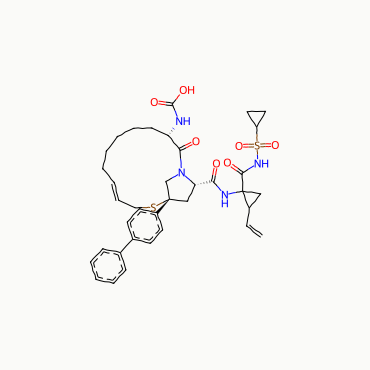 C=CC1CC1(NC(=O)[C@@H]1C[C@@]2(c3ccc(-c4ccccc4)cc3)CN1C(=O)[C@@H](NC(=O)O)CCCCC/C=C/CS2)C(=O)NS(=O)(=O)C1CC1